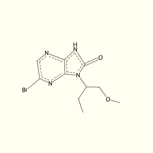 CCC(COC)n1c(=O)[nH]c2ncc(Br)nc21